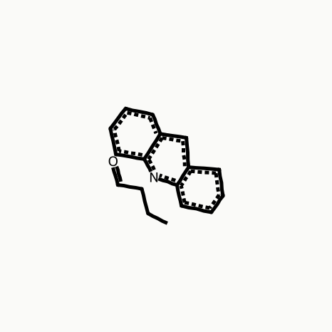 CCCC=O.c1ccc2nc3ccccc3cc2c1